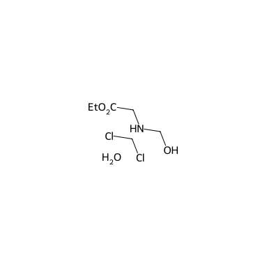 CCOC(=O)CNCO.ClCCl.O